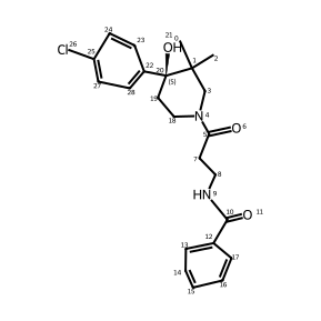 CC1(C)CN(C(=O)CCNC(=O)c2ccccc2)CC[C@]1(O)c1ccc(Cl)cc1